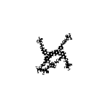 C=C(C)C(=O)OCCOCCCc1cc(N(c2ccc(CCOCCOC(=O)C(=C)C)cc2)c2ccc(-c3ccc(N(c4ccc(CCOCCOC(=O)C(=C)C)cc4)c4ccc(CCOCCOC(=O)C(=C)C)c(CCCOCCOC(=O)C(=C)C)c4)c(C)c3)cc2C)ccc1CCOCCOC(=O)C(=C)C